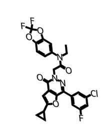 CCN(C(=O)Cn1nc(-c2cc(F)cc(Cl)c2)c2oc(C3CC3)cc2c1=O)c1ccc2c(c1)OC(F)(F)O2